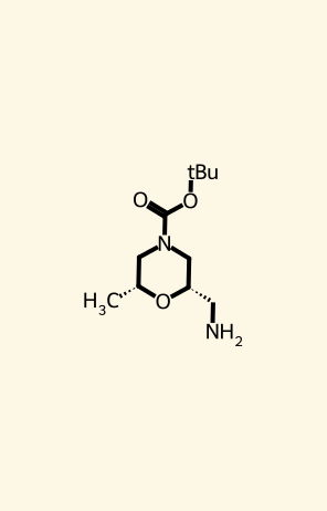 C[C@@H]1CN(C(=O)OC(C)(C)C)C[C@H](CN)O1